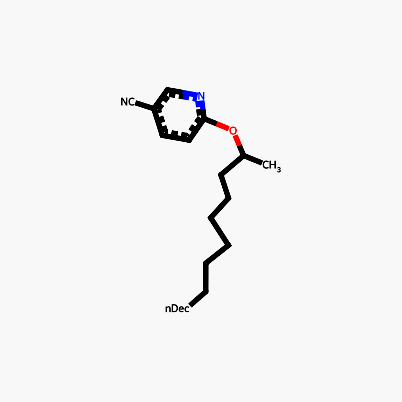 CCCCCCCCCCCCCCCCC(C)Oc1ccc(C#N)cn1